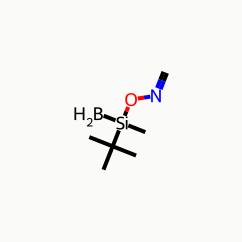 B[Si](C)(ON=C)C(C)(C)C